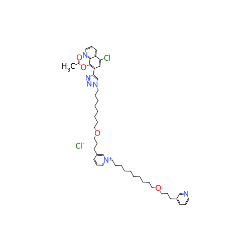 CC(=O)Oc1c(-c2cn(CCCCCCCCOCCCc3ccc[n+](CCCCCCCCCCOCCCc4cccnc4)c3)nn2)cc(Cl)c2cccnc12.[Cl-]